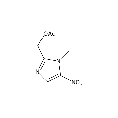 CC(=O)OCc1ncc([N+](=O)[O-])n1C